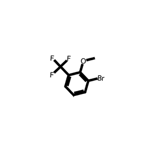 COc1c(Br)c[c]cc1C(F)(F)F